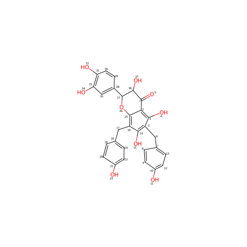 O=C1c2c(O)c(Cc3ccc(O)cc3)c(O)c(Cc3ccc(O)cc3)c2OC(c2ccc(O)c(O)c2)C1O